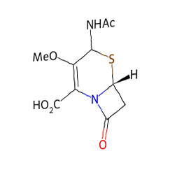 COC1=C(C(=O)O)N2C(=O)C[C@H]2SC1NC(C)=O